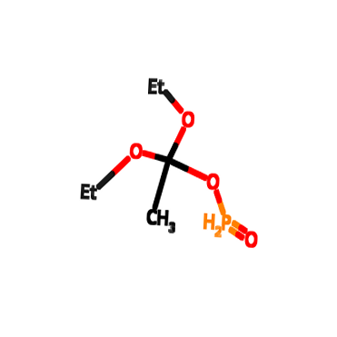 CCOC(C)(OCC)O[PH2]=O